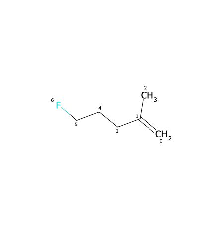 C=C(C)CCCF